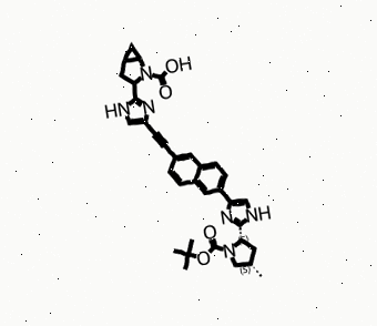 C[C@H]1C[C@@H](c2nc(-c3ccc4cc(C#Cc5c[nH]c(C6CC7CC7N6C(=O)O)n5)ccc4c3)c[nH]2)N(C(=O)OC(C)(C)C)C1